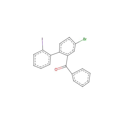 O=C(c1ccccc1)c1cc(Br)ccc1-c1ccccc1I